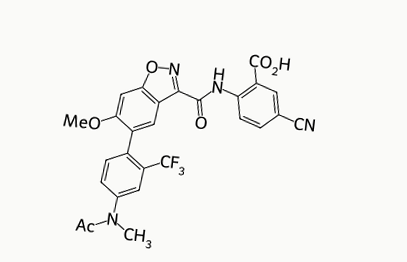 COc1cc2onc(C(=O)Nc3ccc(C#N)cc3C(=O)O)c2cc1-c1ccc(N(C)C(C)=O)cc1C(F)(F)F